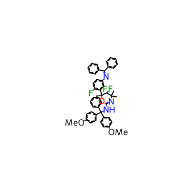 COc1ccc(C(NC2=NC(C)(C)C(F)(F)[C@@](C)(c3cc(N=C(c4ccccc4)c4ccccc4)ccc3F)O2)(c2ccccc2)c2ccc(OC)cc2)cc1